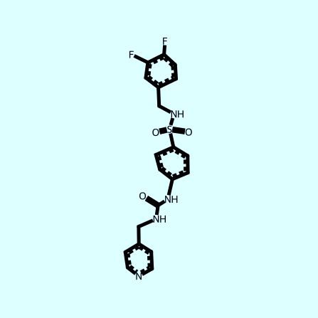 O=C(NCc1ccncc1)Nc1ccc(S(=O)(=O)NCc2ccc(F)c(F)c2)cc1